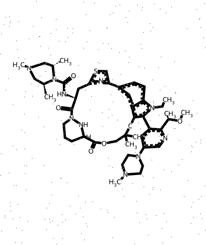 CCn1c(-c2cc(N3CCN(C)CC3)cnc2[C@H](C)OC)c2c3cc(ccc31)-c1csc(n1)C[C@H](NC(=O)N1[C@@H](C)CN(C)C[C@@H]1C)C(=O)N1CCC[C@H](N1)C(=O)OCC(C)(C)C2